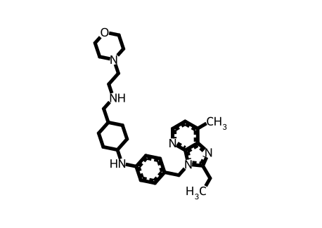 CCc1nc2c(C)ccnc2n1Cc1ccc(NC2CCC(CNCCN3CCOCC3)CC2)cc1